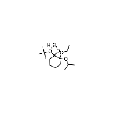 CCOC1(OC(C)C)CCCCC1(O[SiH3])OC(C)(C)C